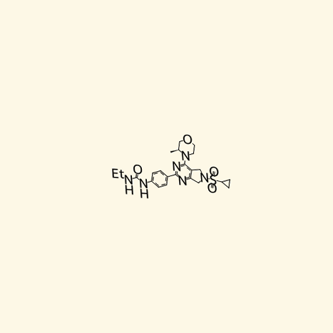 CCNC(=O)Nc1ccc(-c2nc3c(c(N4CCOC[C@@H]4C)n2)CN(S(=O)(=O)C2CC2)C3)cc1